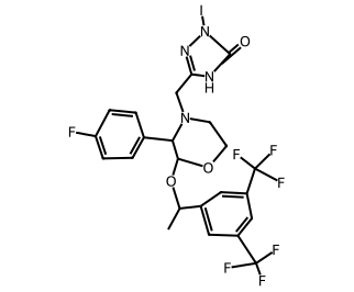 CC(OC1OCCN(Cc2nn(I)c(=O)[nH]2)C1c1ccc(F)cc1)c1cc(C(F)(F)F)cc(C(F)(F)F)c1